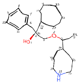 CCC(OC[C@](O)(c1ccccc1)C1CCCCC1)C1CCNCC1